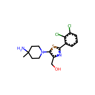 CC1(N)CCN(c2sc(-c3cccc(Cl)c3Cl)nc2CO)CC1